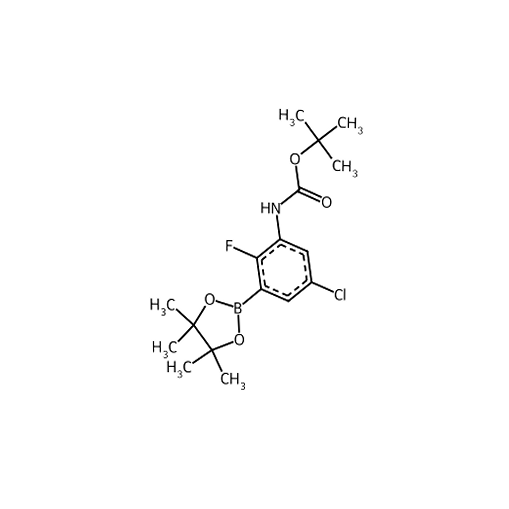 CC(C)(C)OC(=O)Nc1cc(Cl)cc(B2OC(C)(C)C(C)(C)O2)c1F